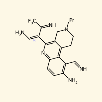 CC(C)N1CCc2c(c(/C(=C/N)C(=N)C(F)(F)F)nc3ccc(N)c(C=N)c23)C1